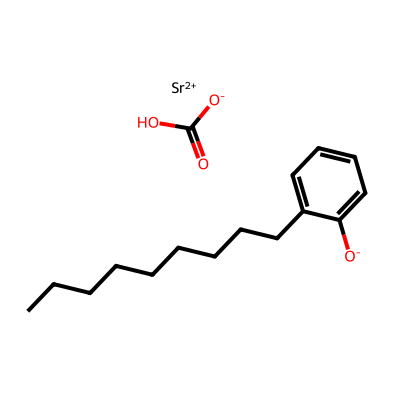 CCCCCCCCCc1ccccc1[O-].O=C([O-])O.[Sr+2]